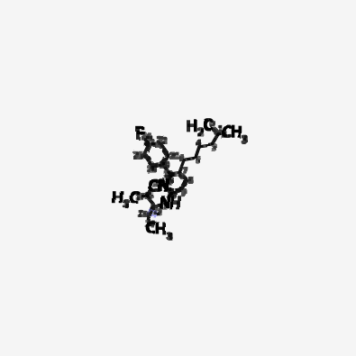 C=C(C)CCCCc1ccc(N/C(=C\C)C(=C)C)nc1-c1ccc(F)cc1